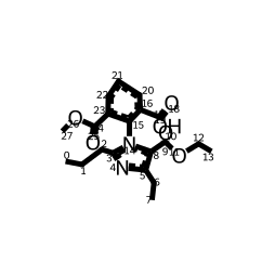 CCCc1nc(CC)c(C(=O)OCC)n1-c1c(C(=O)O)cccc1C(=O)OC